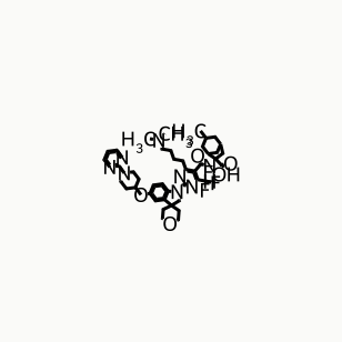 CC1CC2CC(C1)C(NC(=O)c1c(CCCCN(C)C)nc(N3CC4(CCOCC4)c4cc(OC5CCN(c6ncccn6)CC5)ccc43)nc1C(F)(F)F)(C(=O)O)C2